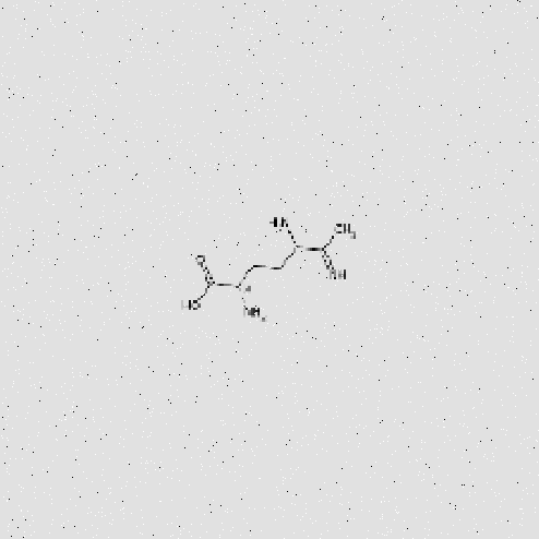 CC(=N)C(N)CC[C@H](N)C(=O)O